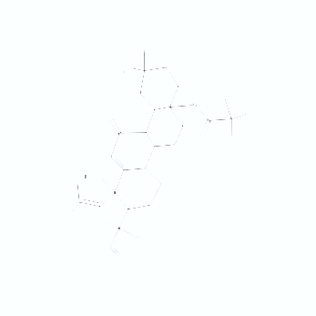 C=CC(C)(C)C1CCC2C(=CC(=C)C3C2CCC2(NC(=C)C(C)(F)F)CCC(C)(C)CC32)C1(C)C=C(C)C